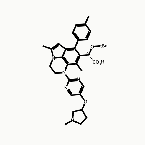 Cc1ccc(-c2c([C@H](OC(C)(C)C)C(=O)O)c(C)c3c4c2cc(C)n4CCN3c2ncc(OC3CCN(C)C3)cn2)cc1